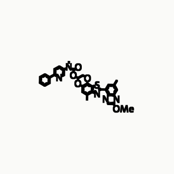 COc1cnc2c(-c3nc4c(C)cc5c(c4s3)OCC(OC(=O)N(C)c3ccc(-c4ccccc4)nc3)O5)cc(C)cc2n1